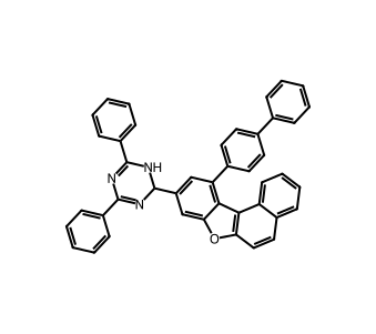 c1ccc(C2=NC(c3cc(-c4ccc(-c5ccccc5)cc4)c4c(c3)oc3ccc5ccccc5c34)NC(c3ccccc3)=N2)cc1